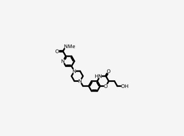 CNC(=O)c1ccc(N2CCN(Cc3ccc4c(c3)NC(=O)C(CCO)O4)CC2)cn1